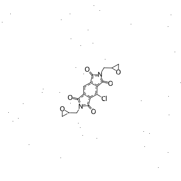 O=c1c2cc3c(=O)n(CC4CO4)c(=O)c3c(Cl)c2c(=O)n1CC1CO1